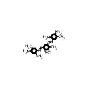 Cc1cc(/N=N/c2ccc(C)c(/N=N/c3cc(C)c(N)cc3N)c2)c(N)cc1N.Cl.Cl